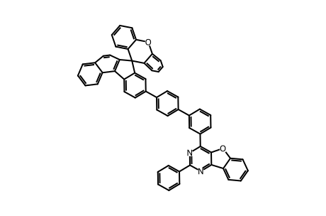 c1ccc(-c2nc(-c3cccc(-c4ccc(-c5ccc6c(c5)C5(c7ccccc7Oc7ccccc75)c5ccc7ccccc7c5-6)cc4)c3)c3oc4ccccc4c3n2)cc1